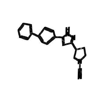 N#CN1CCC(c2cc(-c3ccc(-c4ccccc4)cc3)[nH]n2)C1